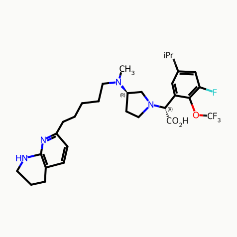 CC(C)c1cc(F)c(OC(F)(F)F)c([C@H](C(=O)O)N2CC[C@@H](N(C)CCCCCc3ccc4c(n3)NCCC4)C2)c1